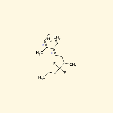 C=CC(=C\CC(C)C(F)(F)CCC)/C(C)=C\C